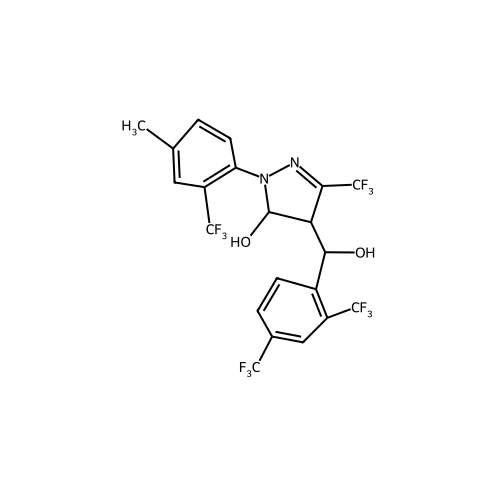 Cc1ccc(N2N=C(C(F)(F)F)C(C(O)c3ccc(C(F)(F)F)cc3C(F)(F)F)C2O)c(C(F)(F)F)c1